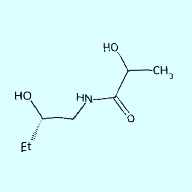 CC[C@H](O)CNC(=O)C(C)O